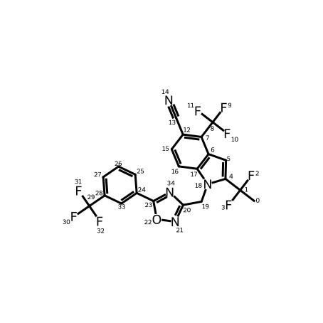 CC(F)(F)c1cc2c(C(F)(F)F)c(C#N)ccc2n1Cc1noc(-c2cccc(C(F)(F)F)c2)n1